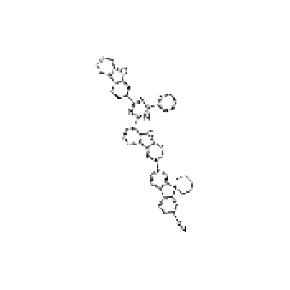 N#Cc1ccc2c(c1)C1(CCCCC1)c1cc(-c3ccc4oc5c(-c6nc(-c7ccccc7)nc(-c7ccc8c(c7)oc7ccccc78)n6)cccc5c4c3)ccc1-2